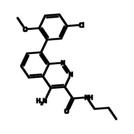 CCCNC(=O)c1nnc2c(-c3cc(Cl)ccc3OC)cccc2c1N